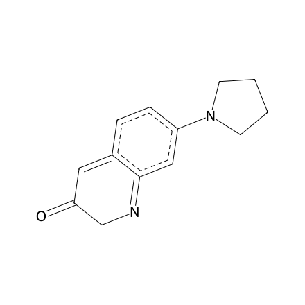 O=C1C=c2ccc(N3CCCC3)cc2=NC1